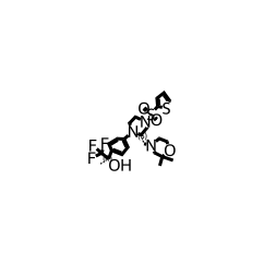 CC1(C)CN(C[C@H]2CN(S(=O)(=O)c3cccs3)CCN2c2ccc([C@@](C)(O)C(F)(F)F)cc2)CCO1